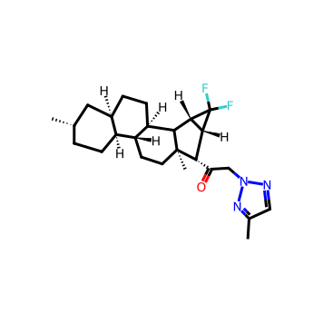 Cc1cnn(CC(=O)[C@H]2[C@@H]3[C@H](C4[C@@H]5CC[C@@H]6C[C@@H](C)CC[C@@H]6[C@H]5CC[C@@]42C)C3(F)F)n1